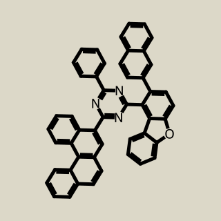 c1ccc(-c2nc(-c3cc4ccc5ccccc5c4c4ccccc34)nc(-c3c(-c4ccc5ccccc5c4)ccc4oc5ccccc5c34)n2)cc1